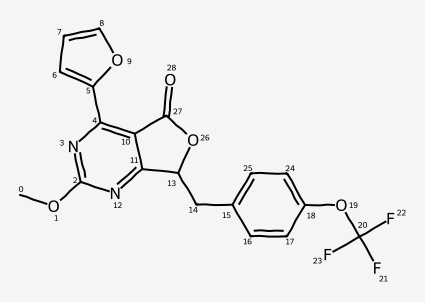 COc1nc(-c2ccco2)c2c(n1)C(Cc1ccc(OC(F)(F)F)cc1)OC2=O